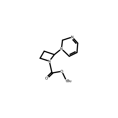 CC(C)(C)OC(=O)N1CCC1N1C=CC=NC1